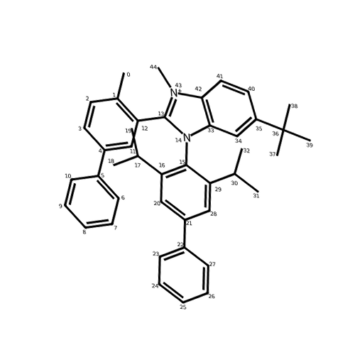 Cc1ccc(-c2ccccc2)cc1-c1n(-c2c(C(C)C)cc(-c3ccccc3)cc2C(C)C)c2cc(C(C)(C)C)ccc2[n+]1C